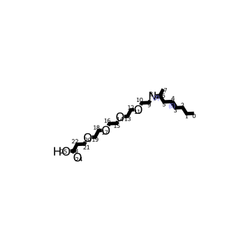 CCC/C=C/C/C(C)=N\CCOCCOCCOCCOCCC(=O)O